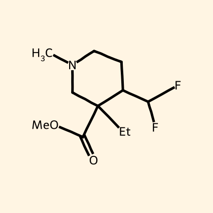 CCC1(C(=O)OC)CN(C)CCC1C(F)F